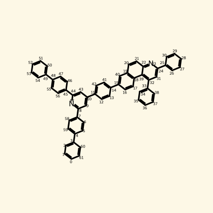 c1ccc(-c2ccc(-c3cc(-c4ccc(-c5ccc6c(ccc7nc(-c8ccccc8)cc(-c8ccccc8)c76)c5)cc4)cc(-c4ccc(-c5ccccc5)cc4)n3)cc2)cc1